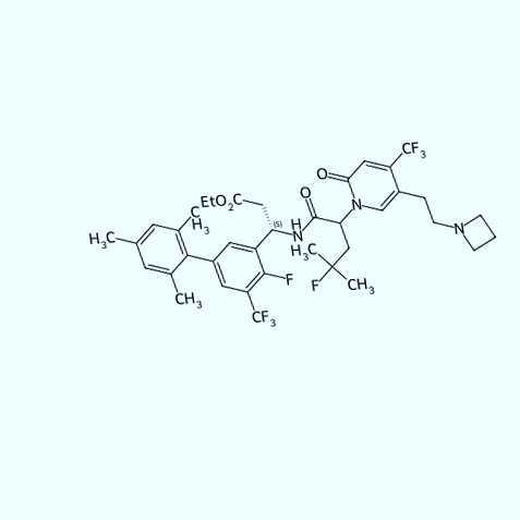 CCOC(=O)C[C@H](NC(=O)C(CC(C)(C)F)n1cc(CCN2CCC2)c(C(F)(F)F)cc1=O)c1cc(-c2c(C)cc(C)cc2C)cc(C(F)(F)F)c1F